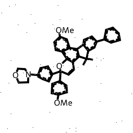 COc1ccc(C2(c3ccc(N4CCOCC4)cc3)C=Cc3c4c(c5cc(OC)ccc5c3O2)-c2ccc(-c3ccccc3)cc2C4(C)C)cc1